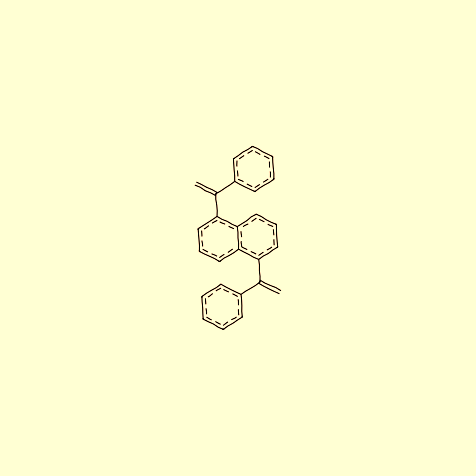 C=C(c1ccccc1)c1cccc2c(C(=C)c3ccccc3)cccc12